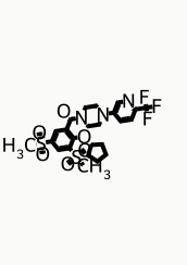 CS(=O)(=O)c1cc(C(=O)N2CCN(c3ccc(C(F)(F)F)nc3)CC2)c(OC2CCCC2)c(S(C)(=O)=O)c1